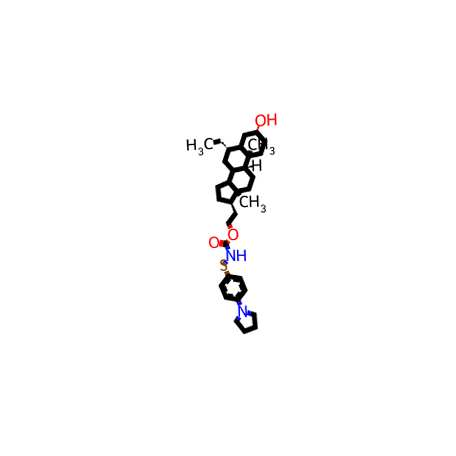 CC[C@H]1CC2C3CC[C@H](CCOC(=O)NSc4ccc(N5CCCC5)cc4)C3(C)CC[C@@H]2C2(C)CC[C@@H](O)CC12